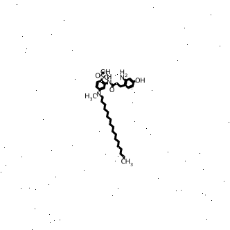 CCCCCCCCCCCCCCCCCCN(C)c1ccc(S(=O)(=O)O)c(NC(=O)CCc2ccc(O)cc2N)c1